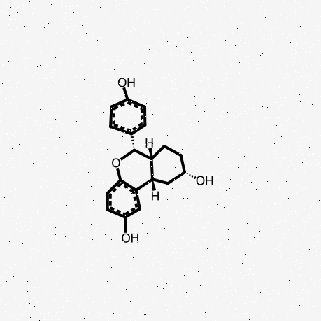 Oc1ccc([C@H]2Oc3ccc(O)cc3[C@H]3C[C@@H](O)CC[C@H]32)cc1